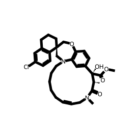 COC(=O)[C@]1(O)c2ccc3c(c2)N(CCCCC/C=C\CN(C)C(=O)[C@H]1C)C[C@@]1(CCCc2cc(Cl)ccc21)CO3